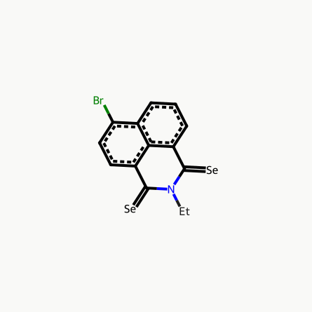 CCN1C(=[Se])c2cccc3c(Br)ccc(c23)C1=[Se]